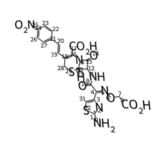 Nc1nc(C(=NOCC(=O)O)C(=O)NC2C(=O)N3C(C(=O)O)=C(C=Cc4ccc([N+](=O)[O-])cc4)CS[C@@H]23)cs1